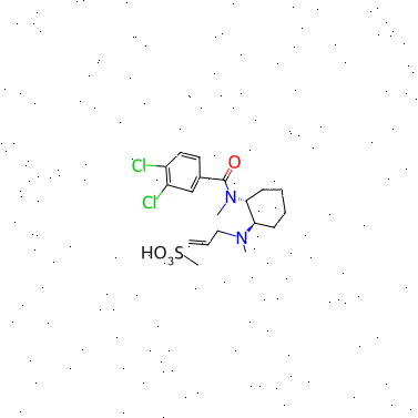 C=CCN(C)[C@@H]1CCCC[C@H]1N(C)C(=O)c1ccc(Cl)c(Cl)c1.CS(=O)(=O)O